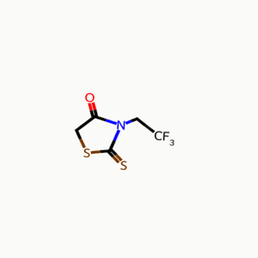 O=C1CSC(=S)N1CC(F)(F)F